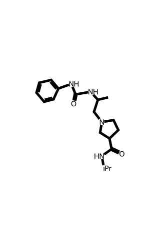 CC(C)NC(=O)C1CCN(CC(C)NC(=O)Nc2ccccc2)C1